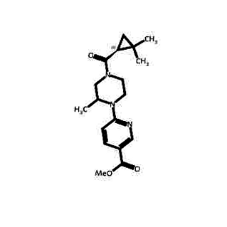 COC(=O)c1ccc(N2CCN(C(=O)[C@H]3CC3(C)C)CC2C)nc1